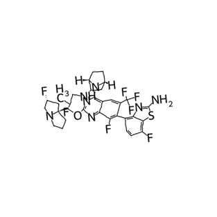 CC(F)CNC1C[C@H]2CC[C@@H]1N2c1nc(OC[C@@]23CCCN2C[C@H](F)C3)nc2c(F)c(-c3ccc(F)c4sc(N)nc34)c(C(F)(F)F)cc12